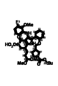 COc1c(F)cccc1Nc1c(-c2ccncc2OCC2CCN(C(=O)OC(C)(C)C)C2)[nH]c2c1C(=O)N(C(=O)O)CC2CCC(OC)OC